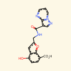 O=C(O)c1ccc(O)c2cc(CNC(=O)c3cnn4cccnc34)oc12